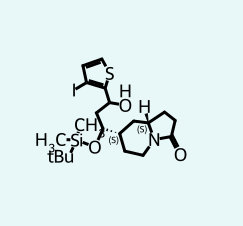 CC(C)(C)[Si](C)(C)OC(CC(O)c1sccc1I)[C@H]1CCN2C(=O)CC[C@H]2C1